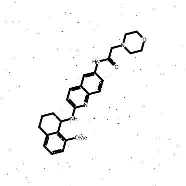 COc1cccc2c1C(Nc1ccc3cc(NC(=O)CN4CCOCC4)ccc3n1)CCC2